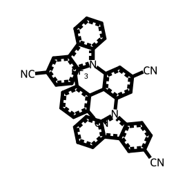 N#Cc1cc(-n2c3ccccc3c3cc(C#N)ccc32)c(-c2c(C#N)cccc2C(F)(F)F)c(-n2c3ccccc3c3cc(C#N)ccc32)c1